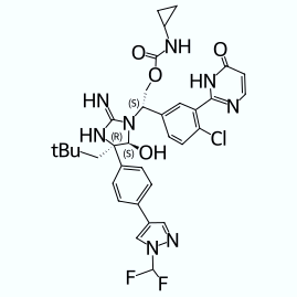 CC(C)(C)C[C@]1(c2ccc(-c3cnn(C(F)F)c3)cc2)NC(=N)N([C@H](COC(=O)NC2CC2)c2ccc(Cl)c(-c3nccc(=O)[nH]3)c2)[C@H]1O